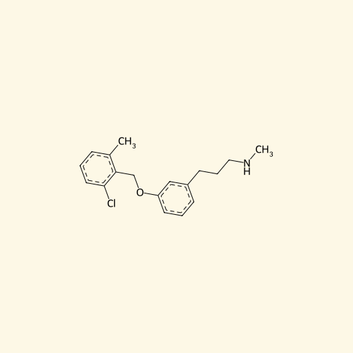 CNCCCc1cccc(OCc2c(C)cccc2Cl)c1